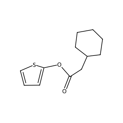 O=C(CC1CCCCC1)Oc1cccs1